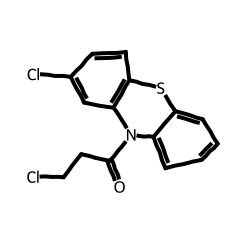 O=C(CCCl)N1c2ccccc2Sc2ccc(Cl)cc21